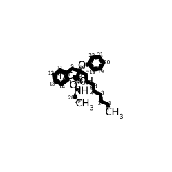 CCCCCCCCC(Cc1ccccc1)(Oc1ccccc1)C(C)(C)ONCC